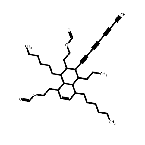 C#CC#CC#CC#CC1C(CCOC=O)C(CCCCCC)C2C(CCOC=O)C=CC(CCCCCC)C2C1CCC